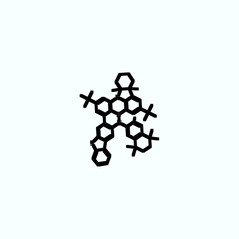 Cc1cc2c(cc1N1B3c4cc(C(C)(C)C)cc5c4N(c4cc(C(C)(C)C)cc(c43)-c3cc4sc6ccccc6c4cc31)C1(C)CCCCC51C)C(C)(C)CCC2(C)C